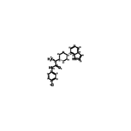 C[C@H](C(=O)Nc1ccc(Cl)cc1)[C@H]1CC[C@@H](c2ccnc3cn[nH]c32)CC1